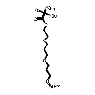 CCCCCCCCC(CC)(CCCCCCCC)C(=O)OCCOCCCOCCCOCCCCCC